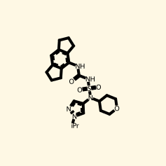 CC(C)n1cc(N(C2CCOCC2)S(=O)(=O)NC(=O)Nc2c3c(cc4c2CCC4)CCC3)cn1